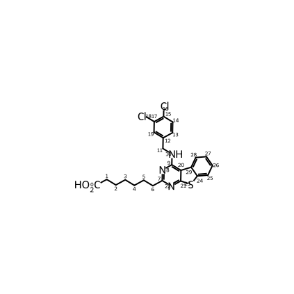 O=C(O)CCCCCCc1nc(NCc2ccc(Cl)c(Cl)c2)c2c(n1)sc1ccccc12